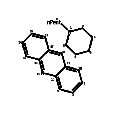 CCCCCN1CCCCC1.c1ccc2nc3ccccc3cc2c1